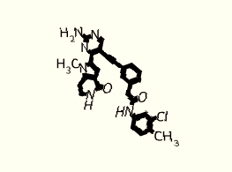 Cc1ccc(NC(=O)Cc2cccc(C#Cc3cnc(N)nc3-c3cc4c(n3C)CCNC4=O)c2)cc1Cl